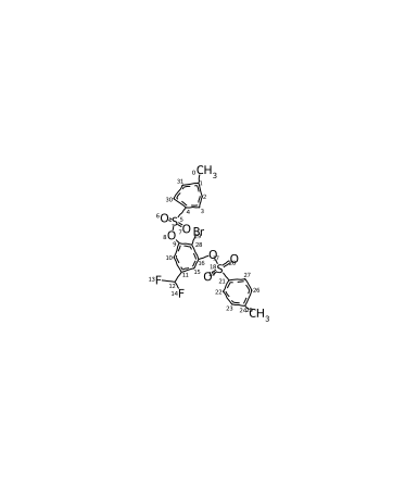 Cc1ccc(S(=O)(=O)Oc2cc(C(F)F)cc(OS(=O)(=O)c3ccc(C)cc3)c2Br)cc1